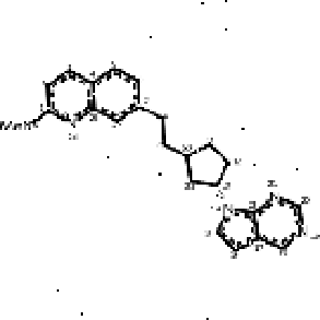 CNc1ccc2ccc(CCC3CC[C@H](n4ccc5cncnc54)C3)cc2n1